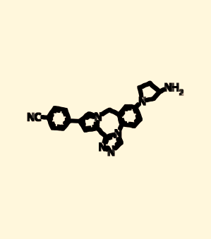 N#Cc1ccc(-c2cc3n(c2)Cc2cc(N4CCC(N)C4)ccc2-n2cnnc2-3)cc1